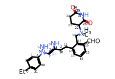 CCc1ccc(N(N)/C=C(\N)CCc2cccc(C=O)c2CN(C)C2CCC(=O)NC2=O)cc1